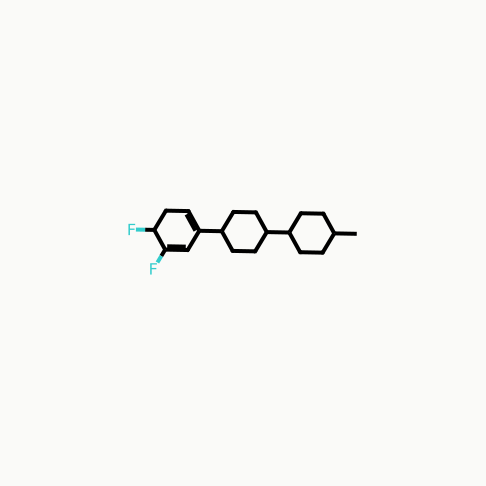 CC1CCC(C2CCC(C3=CCC(F)C(F)=C3)CC2)CC1